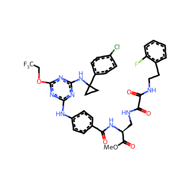 COC(=O)[C@H](CNC(=O)C(=O)NCCc1ccccc1F)NC(=O)c1ccc(Nc2nc(NC3(c4ccc(Cl)cc4)CC3)nc(OCC(F)(F)F)n2)cc1